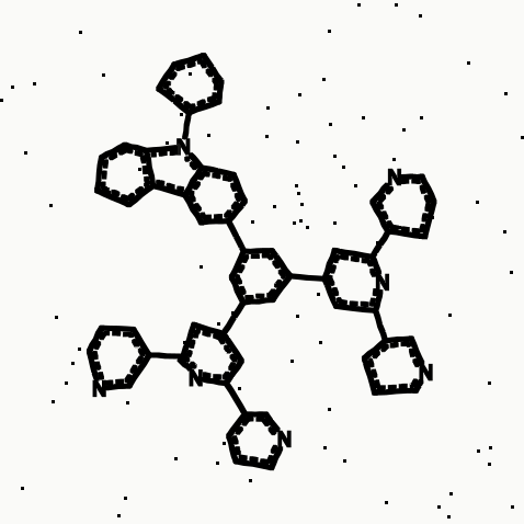 c1ccc(-n2c3ccccc3c3cc(-c4cc(-c5cc(-c6cccnc6)nc(-c6cccnc6)c5)cc(-c5cc(-c6cccnc6)nc(-c6cccnc6)c5)c4)ccc32)cc1